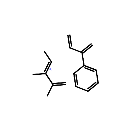 C=C(C)/C(C)=C/C.C=CC(=C)c1ccccc1